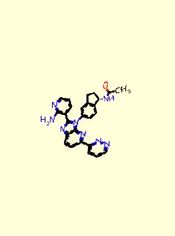 CC(=O)N[C@H]1CCc2cc(-n3c(-c4cccnc4N)nc4ccc(-c5cccnn5)nc43)ccc21